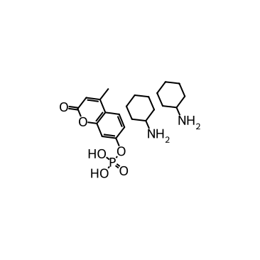 Cc1cc(=O)oc2cc(OP(=O)(O)O)ccc12.NC1CCCCC1.NC1CCCCC1